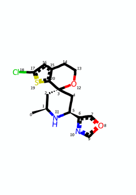 C[C@H]1C[C@@]2(C[C@@H](c3cocn3)N1)OCCc1cc(Cl)sc12